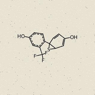 OC1=CC2SC2(c2ccc(O)cc2C(F)(F)F)C=C1